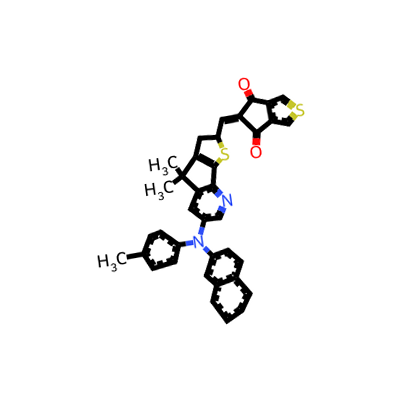 Cc1ccc(N(c2cnc3c(c2)C(C)(C)C2=C3SC(C=C3C(=O)c4cscc4C3=O)C2)c2ccc3ccccc3c2)cc1